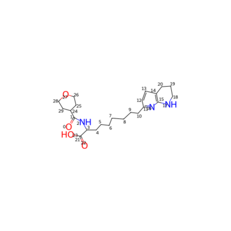 O=C(NC(CCCCCCCc1ccc2c(n1)NCCC2)C(=O)O)C1CCOCC1